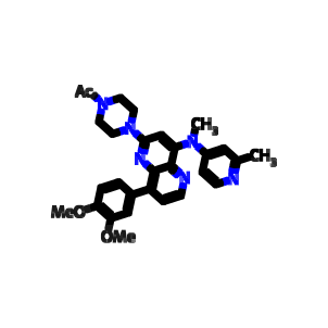 COc1ccc(-c2ccnc3c(N(C)c4ccnc(C)c4)cc(N4CCN(C(C)=O)CC4)nc23)cc1OC